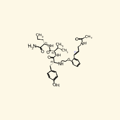 CCC[C@H](NC(=O)[C@H](NC(=O)[C@@H](Cc1ccc(O)cc1)NCCOc1ccccc1/C=C/CNC(C)=O)C(C)C)C(N)=O